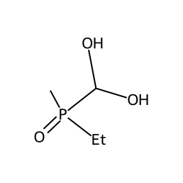 CCP(C)(=O)C(O)O